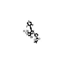 CC(C)(C)OC(=O)N1CC[C@H](n2nc(C#Cc3c(F)cncc3F)c3c(N)ncc(Br)c32)C1